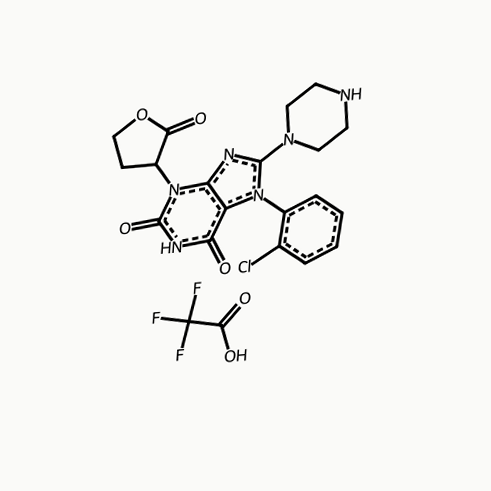 O=C(O)C(F)(F)F.O=C1OCCC1n1c(=O)[nH]c(=O)c2c1nc(N1CCNCC1)n2-c1ccccc1Cl